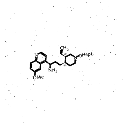 C=C[C@H]1CN(CCCCCCC)CC[C@H]1CCC(N)c1ccnc2ccc(OC)cc12